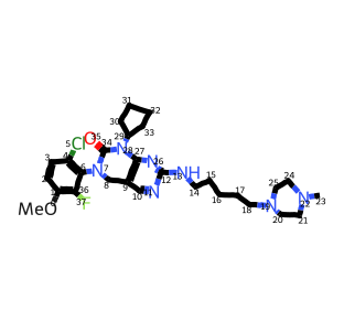 COc1ccc(Cl)c(N2Cc3cnc(NCCCCCN4CCN(C)CC4)nc3N(C3CCCC3)C2=O)c1F